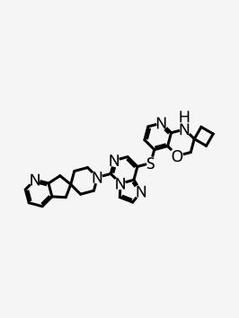 c1cnc2c(c1)CC1(CCN(c3ncc(Sc4ccnc5c4OCC4(CCC4)N5)c4nccn34)CC1)C2